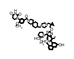 C#Cc1cccc2cc(O)cc(-c3ncc4c(N5CCC[C@@](C)(O)C5)nc(OCC5(CN6CCN(CC7CCC8(CC7)CCN(C(=O)c7ccc(OC)c(N9CCC(=O)NC9=O)c7)CC8)CC6)CC5)nc4c3F)c12